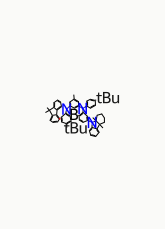 Cc1cc2c3c(c1)N(c1cccc4c1-c1ccccc1C4(C)C)c1ccc(C(C)(C)C)cc1B3c1ccc(N3c4ccccc4C4(C)CCCCC34C)cc1N2c1ccc(C(C)(C)C)cc1